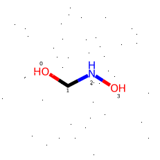 OCNO